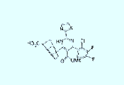 COC(=O)C1=C(C23C4C5C2C2C3C4C52C(=O)O)NC(c2nccs2)=NC1c1ccc(F)c(F)c1Cl